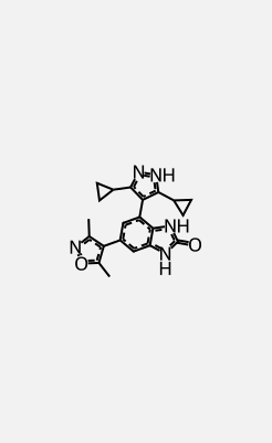 Cc1noc(C)c1-c1cc(-c2c(C3CC3)n[nH]c2C2CC2)c2[nH]c(=O)[nH]c2c1